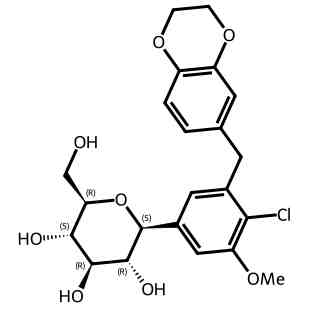 COc1cc([C@@H]2O[C@H](CO)[C@@H](O)[C@H](O)[C@H]2O)cc(Cc2ccc3c(c2)OCCO3)c1Cl